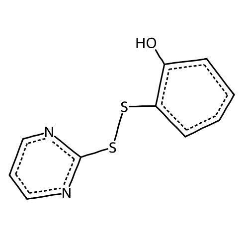 Oc1ccccc1SSc1ncccn1